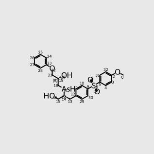 COc1ccc(S(=O)(=O)c2ccc(C[C@@H](CO)[AsH]C[C@H](O)COc3ccccc3)cc2)cc1